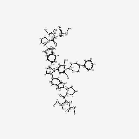 COC(=O)N[C@H](C(=O)N1CCC[C@H]1c1nc2cc([C@H]3CC[C@H](c4ccc5[nH]c([C@@H]6CCCN6C(=O)[C@@H](NC(=O)OC)N(C)OC)nc5c4)N3c3cc(F)c(N4CCC(c5ccccc5)CC4)c(F)c3)ccc2[nH]1)[C@@H](C)OC